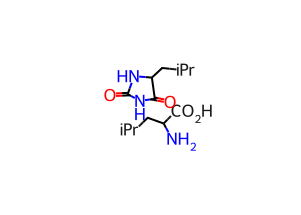 CC(C)CC(N)C(=O)O.CC(C)CC1NC(=O)NC1=O